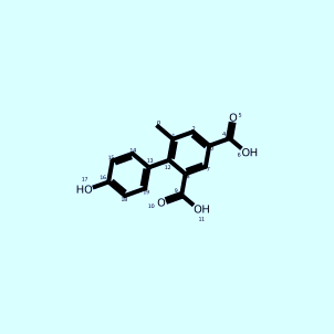 Cc1cc(C(=O)O)cc(C(=O)O)c1-c1ccc(O)cc1